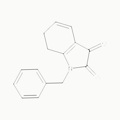 O=C1C(=O)N(Cc2ccccc2)C2=C1C=CCC2